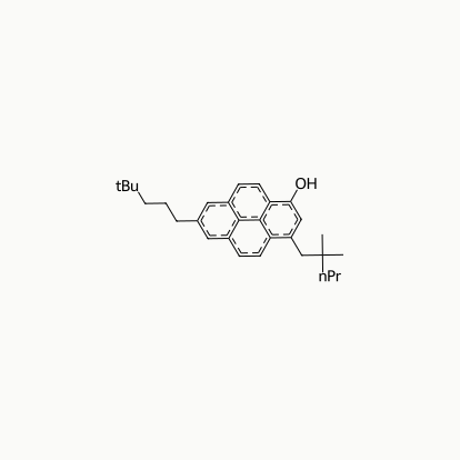 CCCC(C)(C)Cc1cc(O)c2ccc3cc(CCCC(C)(C)C)cc4ccc1c2c34